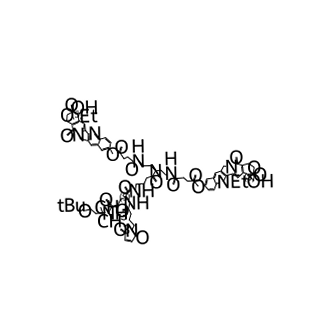 CC[C@@]1(O)C(=O)OCc2c1cc1n(c2=O)Cc2cc3cc(OC(=O)CCC(=O)NCCN(CCNC(=O)CCC(=O)Oc4ccc5nc6c(cc5c4)Cn4c-6cc5c(c4=O)COC(=O)[C@]5(O)CC)C(=O)CCCNC(=O)[C@H](CCC(=O)NC(C)(C)CCOC(C)(C)C)NC(=O)CCCN4C(=O)C=CC4=O)ccc3nc2-1